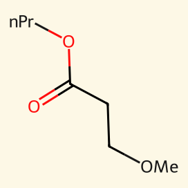 CCCOC(=O)CCOC